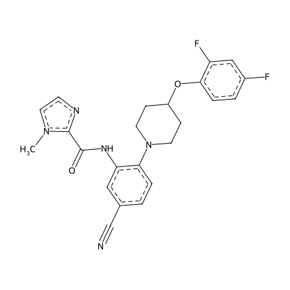 Cn1ccnc1C(=O)Nc1cc(C#N)ccc1N1CCC(Oc2ccc(F)cc2F)CC1